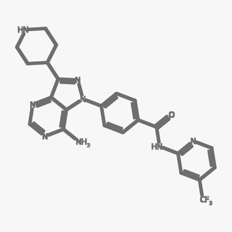 Nc1ncnc2c(C3CCNCC3)nn(-c3ccc(C(=O)Nc4cc(C(F)(F)F)ccn4)cc3)c12